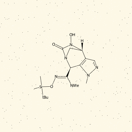 CN/C(=N\O[Si](C)(C)C(C)(C)C)[C@@H]1c2c(cnn2C)[C@@H]2CN1C(=O)N2O